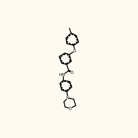 Cc1ccc(Oc2cccc(C(=O)Nc3ccc(N4CCOCC4)cc3)c2)cc1